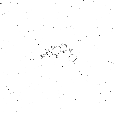 CC1(O)CC(Nc2nc(NC3CCCCC3)ncc2C(F)(F)F)C1